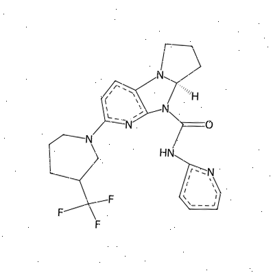 O=C(Nc1ccccn1)N1c2nc(N3CCCC(C(F)(F)F)C3)ccc2N2CCC[C@H]21